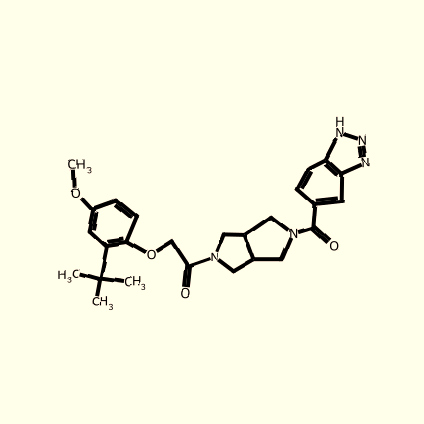 COc1ccc(OCC(=O)N2CC3CN(C(=O)c4ccc5[nH]nnc5c4)CC3C2)c(C(C)(C)C)c1